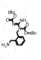 CC(C)(C)OC(=O)N=C(N)N(Cc1ccccc1CN)C(=O)OC(C)(C)C